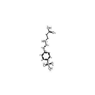 O=C(O)CCNN=Nc1ccc(S(=O)(=O)O)cc1